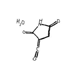 O.O=C=C1CC(=O)NC1=O